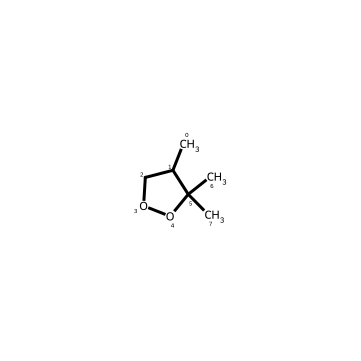 CC1COOC1(C)C